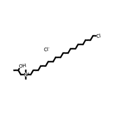 CC(O)C[N+](C)(C)CCCCCCCCCCCCCCCCCCCl.[Cl-]